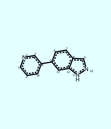 c1cncc(-c2ccc3cn[nH]c3c2)c1